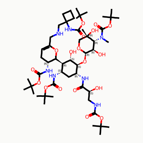 CN(C(=O)OC(C)(C)C)[C@@H]1[C@@H](O)[C@@H](O[C@@H]2[C@@H](O)[C@H](C3OC(CNCC4(NC(=O)OC(C)(C)C)CCC4)=CC[C@H]3NC(=O)OC(C)(C)C)[C@@H](NC(=O)OC(C)(C)C)C[C@H]2NC(=O)[C@@H](O)CNC(=O)OC(C)(C)C)OC[C@]1(C)O